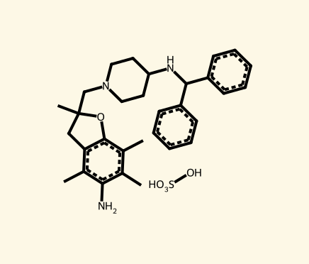 Cc1c(C)c2c(c(C)c1N)CC(C)(CN1CCC(NC(c3ccccc3)c3ccccc3)CC1)O2.O=S(=O)(O)O